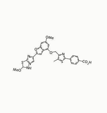 COc1cc(OCc2nc(-c3ccc(C(=O)O)cc3)sc2C)c2cc(-c3cn4c(n3)SC(OC)N4)oc2c1